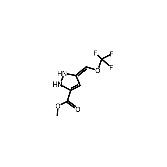 COC(=O)C1=CC(=COC(F)(F)F)NN1